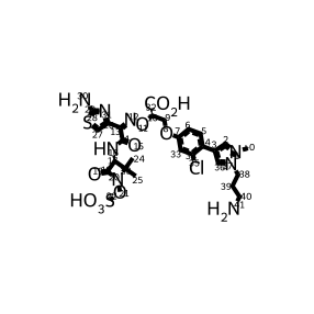 C[n+]1cc(-c2ccc(OC[C@H](O/N=C(\C(=O)N[C@@H]3C(=O)N(OS(=O)(=O)O)C3(C)C)c3csc(N)n3)C(=O)O)cc2Cl)cn1CCCN